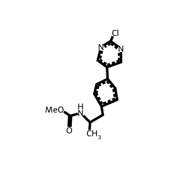 COC(=O)NC(C)Cc1ccc(-c2cnc(Cl)nc2)cc1